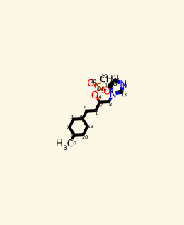 CC1CCC(CCC(Cn2ccnc2)OS(C)(=O)=O)CC1